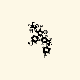 COc1ccc([C@@H]2[C@@H](NC(=O)C(C)(F)F)[C@@H](C)C(=O)N2c2ccc3c(cnn3-c3ccc(F)cc3)c2)cc1